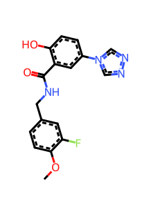 COc1ccc(CNC(=O)c2cc(-n3cnnc3)ccc2O)cc1F